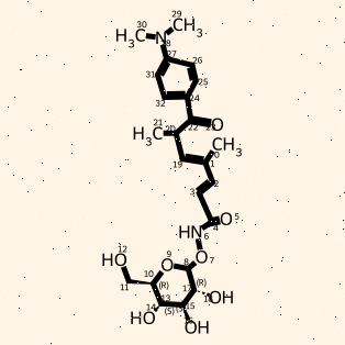 CC(C=CC(=O)NOC1O[C@H](CO)[C@@H](O)[C@H](O)[C@H]1O)=CC(C)C(=O)c1ccc(N(C)C)cc1